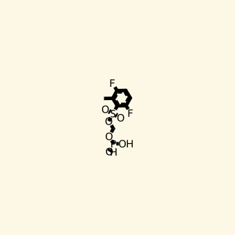 Cc1c(F)ccc(F)c1S(=O)(=O)OCO[PH](=O)O